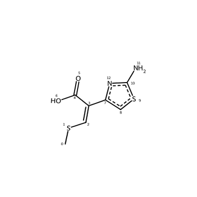 CSC=C(C(=O)O)c1csc(N)n1